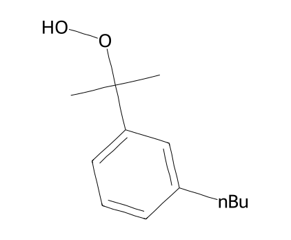 CCCCc1cccc(C(C)(C)OO)c1